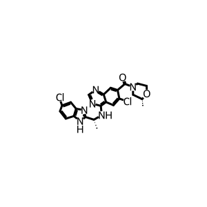 C[C@@H]1CN(C(=O)c2cc3ncnc(N[C@H](C)c4nc5cc(Cl)ccc5[nH]4)c3cc2Cl)CCO1